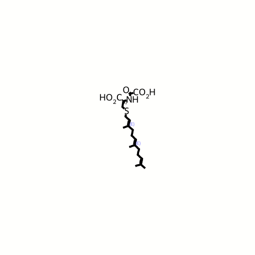 CC(C)=CCC/C(C)=C/CC/C(C)=C/CSC[C@H](NC(=O)C(=O)O)C(=O)O